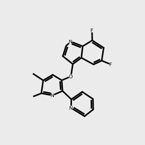 Cc1cc(Oc2ccnc3c(F)cc(F)cc23)c(-c2ccccn2)nc1C